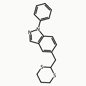 c1ccc(-n2ncc3cc(CC4SCCCS4)ccc32)cc1